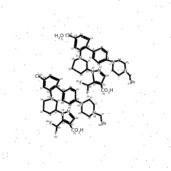 CC(C)CN1CCN(c2ccc(-c3ccc(Cl)cc3N3CCCC(n4ncc(C(=O)O)c4C(F)F)C3)cc2)CC1.CC(C)CN1CCN(c2ccc(-c3ccc(Cl)cc3N3CCCC(n4ncc(C(=O)O)c4C(F)F)C3)cc2)CC1.O